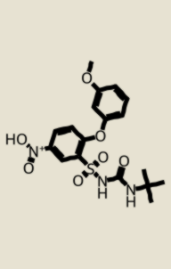 COc1cccc(Oc2ccc([N+](=O)O)cc2S(=O)(=O)NC(=O)NC(C)(C)C)c1